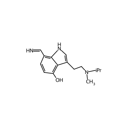 CC(C)N(C)CCc1c[nH]c2c(C=N)ccc(O)c12